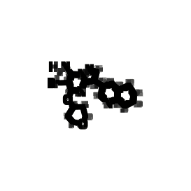 Nc1c(Br)c(OC2CCOCC2)nc2c(-c3cnc4ccccc4c3)cnn12